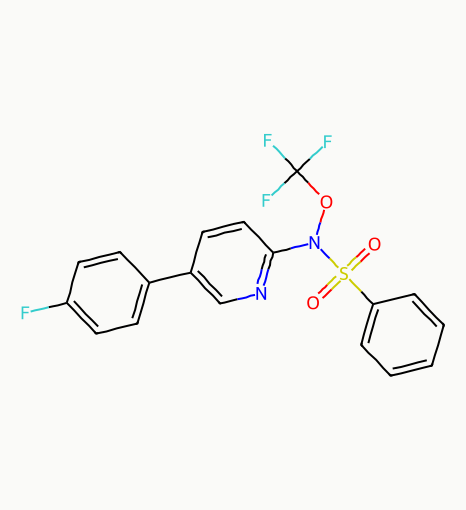 O=S(=O)(c1ccccc1)N(OC(F)(F)F)c1ccc(-c2ccc(F)cc2)cn1